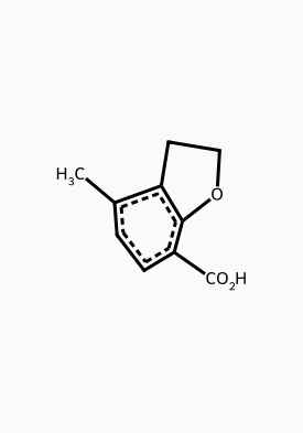 Cc1ccc(C(=O)O)c2c1CCO2